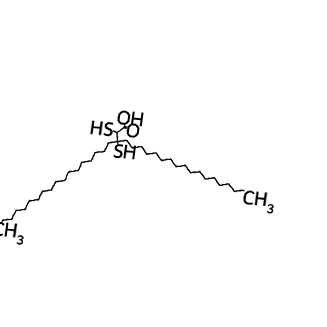 CCCCCCCCCCCCCCCCCCC(S)(CCCCCCCCCCCCCCCCCC)C(S)C(=O)O